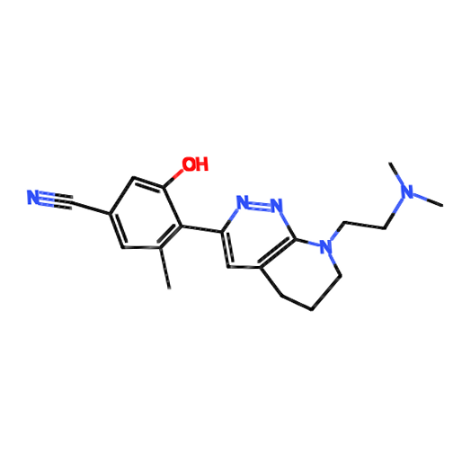 Cc1cc(C#N)cc(O)c1-c1cc2c(nn1)N(CCN(C)C)CCC2